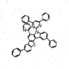 c1ccc(-c2ccc3sc4c(cc(-c5ccccn5)c5c4c4cc(-c6ccccc6)ccc4n5-c4nc(-c5ccccc5)cc(-c5ccccc5)n4)c3c2)cc1